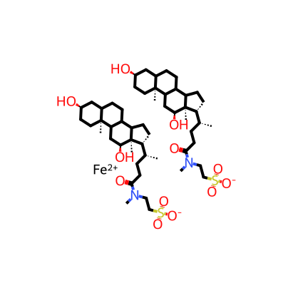 C[C@H](CCC(=O)N(C)CCS(=O)(=O)[O-])[C@H]1CCC2C3CCC4C[C@H](O)CC[C@]4(C)C3C[C@H](O)[C@@]21C.C[C@H](CCC(=O)N(C)CCS(=O)(=O)[O-])[C@H]1CCC2C3CCC4C[C@H](O)CC[C@]4(C)C3C[C@H](O)[C@@]21C.[Fe+2]